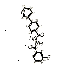 O=C(NNC(=O)c1cccc(F)c1)c1ccc(-c2cccnc2)cc1